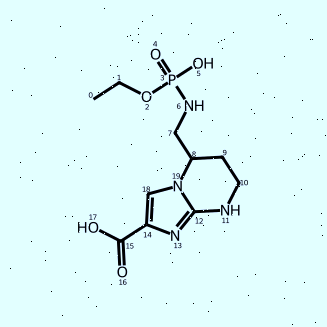 CCOP(=O)(O)NCC1CCNc2nc(C(=O)O)cn21